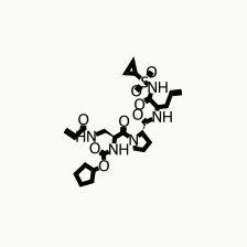 C=CCC(NC(=O)[C@@H]1CCCN1C(=O)[C@H](CNC(=O)C=C)NC(=O)OC1CCCC1)C(=O)NS(=O)(=O)C1CC1